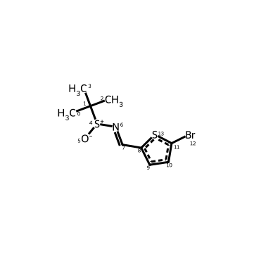 CC(C)(C)[S+]([O-])N=Cc1ccc(Br)s1